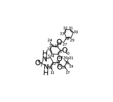 COc1cc(C2NC(=O)NC(C)=C2C(=O)OC(C)C(C)(C)C)cc(C)c1OCc1ccccc1